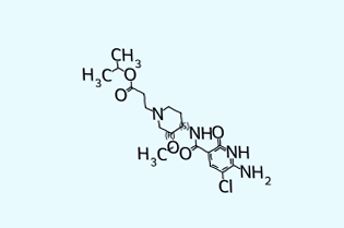 CO[C@@H]1CN(CCC(=O)OC(C)C)CC[C@@H]1NC(=O)c1cc(Cl)c(N)[nH]c1=O